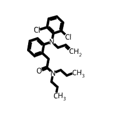 C=CCN(c1ccccc1CC(=O)N(CCC)CCC)c1c(Cl)cccc1Cl